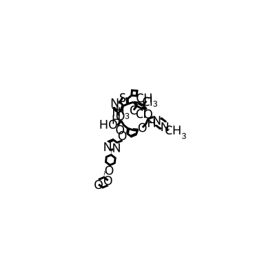 Cc1c(Cl)c2c(Cl)c(C)c1-c1c(C3CCC3)sc3ncnc(c13)O[C@@H](C(=O)O)Cc1cc(ccc1OCc1ccnc([C@H]3CC[C@H](OC[C@H]4COCCO4)CC3)n1)OC[C@@H](CN1CCN(C)CC1)O2